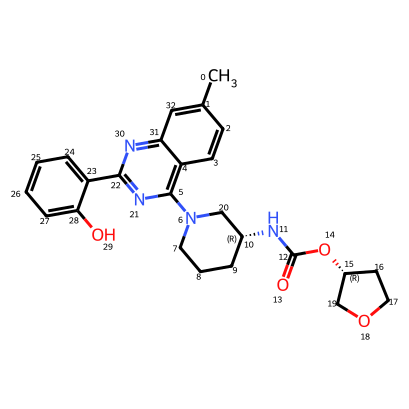 Cc1ccc2c(N3CCC[C@@H](NC(=O)O[C@@H]4CCOC4)C3)nc(-c3ccccc3O)nc2c1